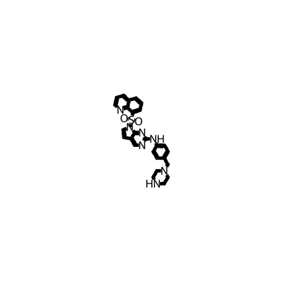 O=S(=O)(c1cccc2cccnc12)n1ccc2cnc(Nc3ccc(CN4CCNCC4)cc3)nc21